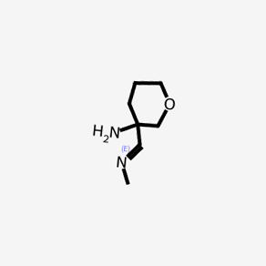 C/N=C/C1(N)CCCOC1